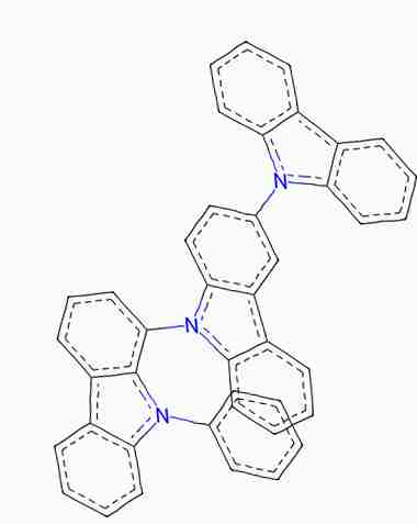 c1ccc(-n2c3ccccc3c3cccc(-n4c5ccccc5c5cc(-n6c7ccccc7c7ccccc76)ccc54)c32)cc1